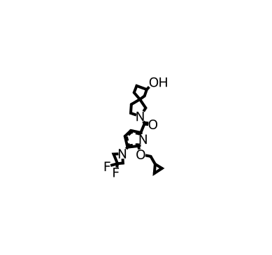 O=C(c1ccc(N2CC(F)(F)C2)c(OCC2CC2)n1)N1CCC2(CCC(O)C2)C1